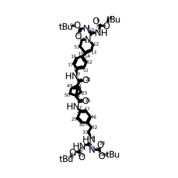 CC(C)(C)OC(=O)/N=C(/NC(=O)OC(C)(C)C)N1CC=C(c2ccc(NC(=O)C3CC4(C(=O)Nc5ccc(CCN/C(=N\C(=O)OC(C)(C)C)NC(=O)OC(C)(C)C)cc5)CC3C4)cc2)CC1